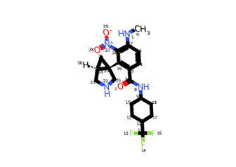 CNc1ccc(C(=O)NC2CCC(C(F)(F)F)CC2)c([C@@]23CNC[C@H]2C3)c1[N+](=O)[O-]